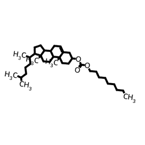 CCCCCCCCCOC(=O)OC1CCC2(C)C(=CCC3C2CCC2(C)C(C(C)CCCC(C)C)CCC32)C1